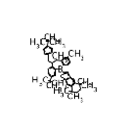 Cc1ccc2c(c1)C(C)C(Cc1ccc(C(C)(C)C)cc1)c1ccc(C(C)(C)C)cc1B2c1cc2cc3c(cc2s1)C(C)(C)CCC3(C)C